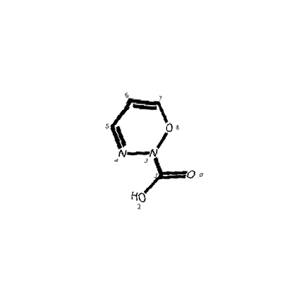 O=C(O)N1N=CC=CO1